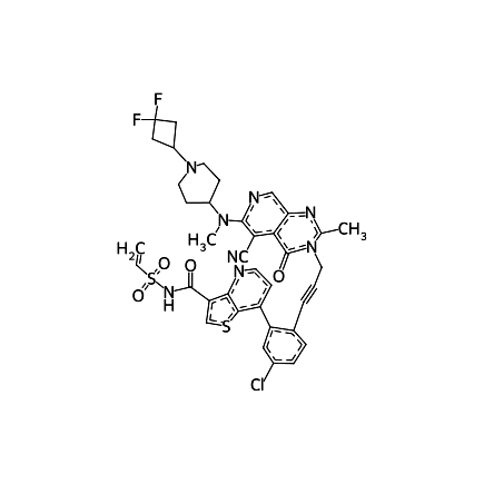 C=CS(=O)(=O)NC(=O)c1csc2c(-c3cc(Cl)ccc3C#CCn3c(C)nc4cnc(N(C)C5CCN(C6CC(F)(F)C6)CC5)c(C#N)c4c3=O)ccnc12